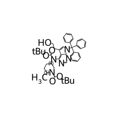 C[C@H]1CC[C@@H](N(C(=O)OC(C)(C)C)c2ncnc3c2c(CCO)cn3C(c2ccccc2)(c2ccccc2)c2ccccc2)CN1C(=O)OC(C)(C)C